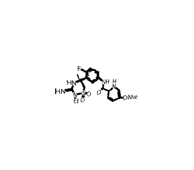 CCN1C(=N)N[C@](C)(c2cc(NC(=O)C3C=CC(OC)=CN3)ccc2F)CS1(=O)=O